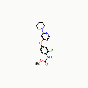 CC(C)(C)OC(=O)Nc1ccc(Oc2ccnc(N3CCCCC3)c2)cc1F